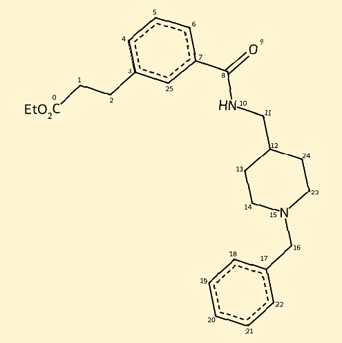 CCOC(=O)CCc1cccc(C(=O)NCC2CCN(Cc3ccccc3)CC2)c1